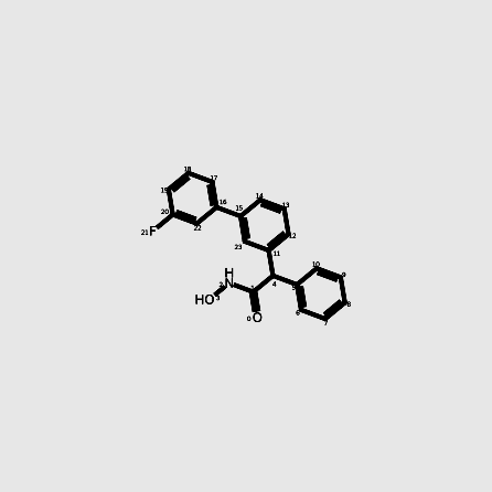 O=C(NO)C(c1ccccc1)c1cccc(-c2cccc(F)c2)c1